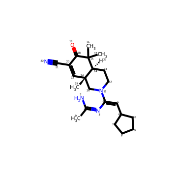 C/C(N)=N/C(=C\C1CCCC1)N1CC[C@@H]2C(C)(C)C(=O)C(C#N)=C[C@@]2(C)C1